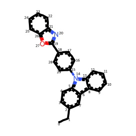 CCc1ccc2c(c1)c1ccccc1n2-c1ccc(-c2nc3ccccc3o2)cc1